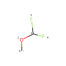 [CH2]OC(F)F